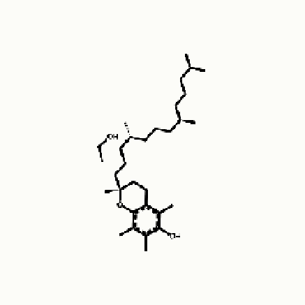 CCO.Cc1c(C)c2c(c(C)c1O)CC[C@@](C)(CCC[C@H](C)CCC[C@H](C)CCCC(C)C)O2